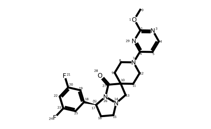 COc1nccc(N2CCC3(CC2)CN2CC[C@@H](c4cc(F)cc(F)c4)N2C3=O)n1